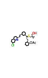 CC(=O)Oc1ccccc1CC[C@@H](SCC1(CO)CC1)c1cccc(/C=C/c2ccc3ccc(Cl)cc3n2)c1